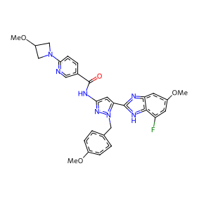 COc1ccc(Cn2nc(NC(=O)c3ccc(N4CC(OC)C4)nc3)cc2-c2nc3cc(OC)cc(F)c3[nH]2)cc1